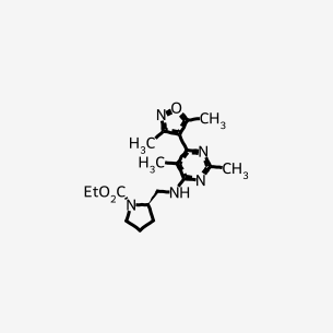 CCOC(=O)N1CCC[C@@H]1CNc1nc(C)nc(-c2c(C)noc2C)c1C